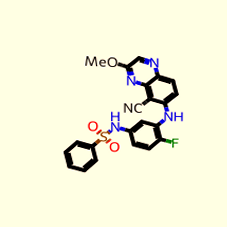 COc1cnc2ccc(Nc3cc(NS(=O)(=O)c4ccccc4)ccc3F)c(C#N)c2n1